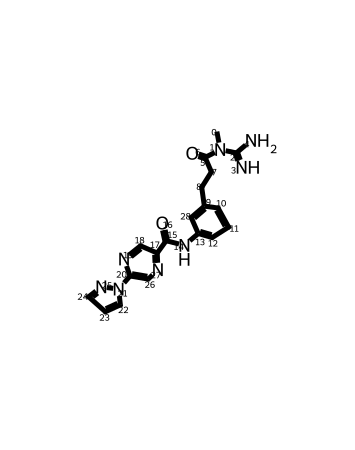 CN(C(=N)N)C(=O)CCc1cccc(NC(=O)c2cnc(-n3cccn3)cn2)c1